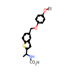 CCOc1ccc(OCc2ccc3sc(C(C)NC(=O)O)cc3c2)cc1